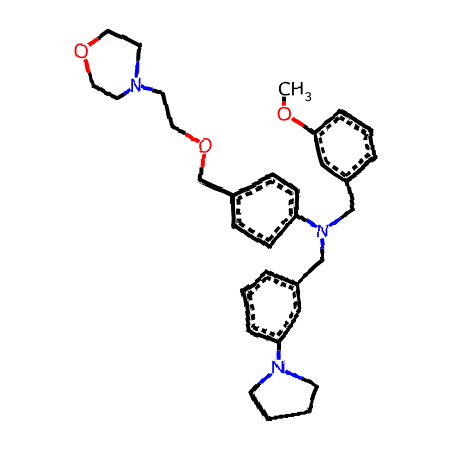 COc1cccc(CN(Cc2cccc(N3CCCC3)c2)c2ccc(COCCN3CCOCC3)cc2)c1